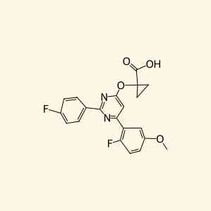 COc1ccc(F)c(-c2cc(OC3(C(=O)O)CC3)nc(-c3ccc(F)cc3)n2)c1